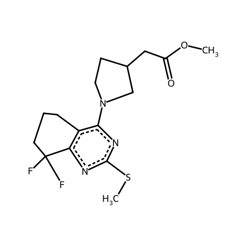 COC(=O)CC1CCN(c2nc(SC)nc3c2CCCC3(F)F)C1